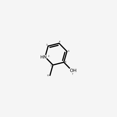 C[C]1NC=CC=C1O